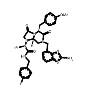 CCCN(C(=O)NCc1ccc(F)cc1)N1CC(=O)N2[C@@H](Cc3ccc(OC)cc3)C(=O)N(Cc3cccc4sc(N)nc34)C[C@@H]21